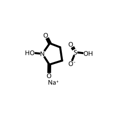 O=C1CCC(=O)N1O.O=S([O-])O.[Na+]